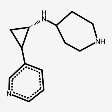 c1cncc(C2C[C@@H]2NC2CCNCC2)c1